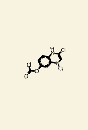 O=C(Cl)Oc1ccc2c(c1)N(Cl)C=C(Cl)N2